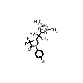 C[SiH2]OC(O[SiH2]C)C(C)(C)CCN(C(=O)C(F)(F)F)c1ccc(Br)cc1